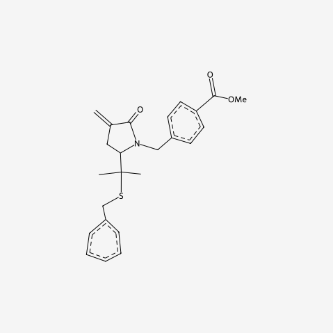 C=C1CC(C(C)(C)SCc2ccccc2)N(Cc2ccc(C(=O)OC)cc2)C1=O